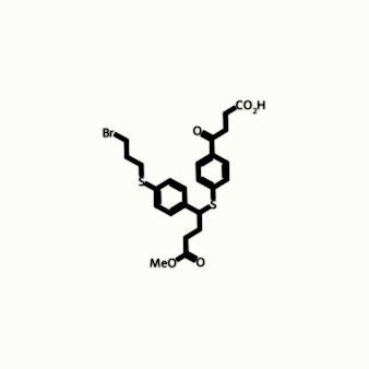 COC(=O)CCC(Sc1ccc(C(=O)CCC(=O)O)cc1)c1ccc(SCCCBr)cc1